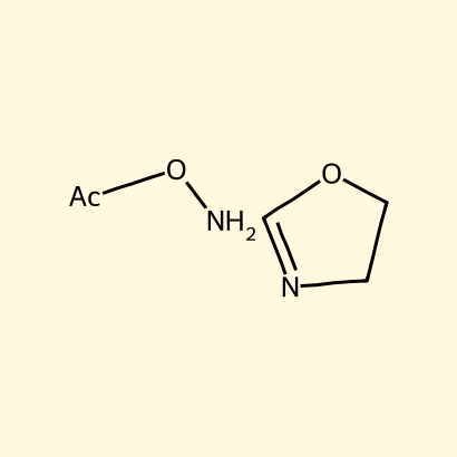 C1=NCCO1.CC(=O)ON